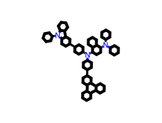 c1ccc(N(c2ccccc2)c2ccc(N(c3ccc(-c4ccc5c6ccccc6c6ccccc6c5c4)cc3)c3ccc(-c4ccc5c(c4)c4ccccc4n5-c4ccccc4)cc3)c3ccccc23)cc1